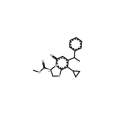 COC(=O)[C@@H]1CSc2c(C3CC3)c(C(C)c3ccccc3)cc(=O)n21